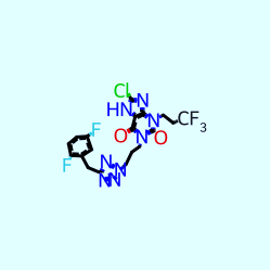 O=c1c2[nH]c(Cl)nc2n(CCC(F)(F)F)c(=O)n1CCCn1nnc(Cc2cc(F)ccc2F)n1